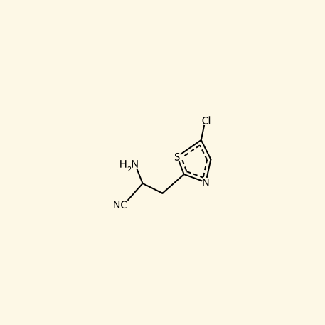 N#CC(N)Cc1ncc(Cl)s1